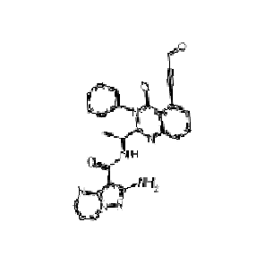 C[C@H](NC(=O)c1c(N)nn2cccnc12)c1nc2cccc(C#CC=O)c2c(=O)n1-c1ccccc1